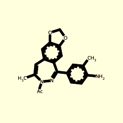 CC(=O)N1N=C(c2ccc(N)c(C)c2)c2cc3c(cc2C=C1C)OCO3